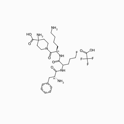 NCCCC[C@@H](NC(=O)C(CCCF)NC(=O)[C@H](N)Cc1ccccc1)C(=O)N1CCC(N)(C(=O)O)CC1.O=C(O)C(F)(F)F